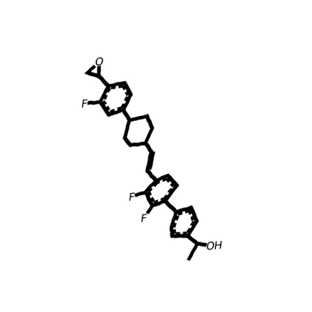 CC(O)c1ccc(-c2ccc(/C=C/C3CCC(c4ccc(C5CO5)c(F)c4)CC3)c(F)c2F)cc1